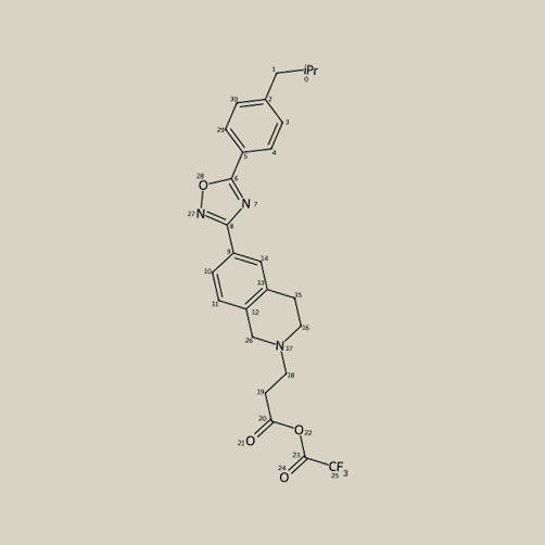 CC(C)Cc1ccc(-c2nc(-c3ccc4c(c3)CCN(CCC(=O)OC(=O)C(F)(F)F)C4)no2)cc1